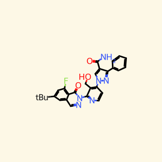 CC(C)(C)c1cc(F)c2c(=O)n(-c3nccc(-n4cc(C(N)=O)c(-c5ccccc5)n4)c3CO)ncc2c1